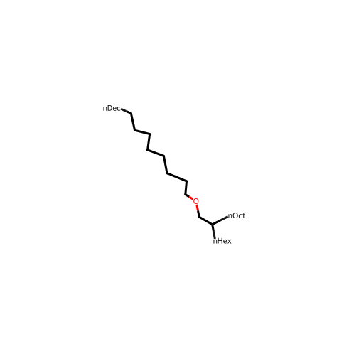 CCCCCCCCCCCCCCCCCCOCC(CCCCCC)CCCCCCCC